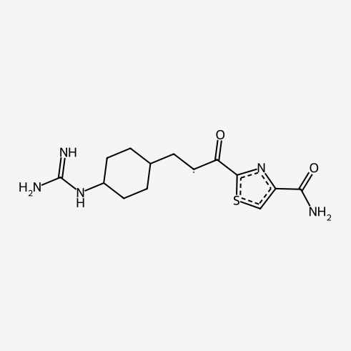 N=C(N)NC1CCC(C[CH]C(=O)c2nc(C(N)=O)cs2)CC1